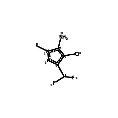 Cn1nc(C(F)F)c(Cl)c1N